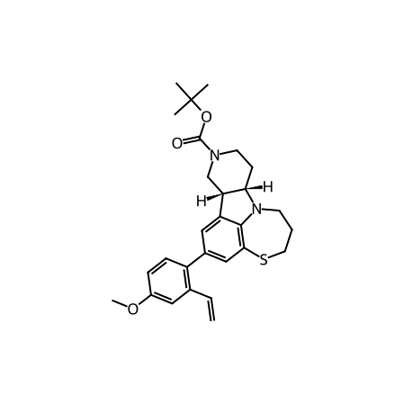 C=Cc1cc(OC)ccc1-c1cc2c3c(c1)[C@@H]1CN(C(=O)OC(C)(C)C)CC[C@@H]1N3CCCS2